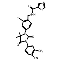 CC1(C)C(=O)N(c2ccc(C#N)c(C(F)(F)F)c2)C(=S)N1c1ccc(CNC(=O)c2cncs2)c(Cl)c1